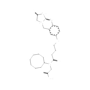 O=C(O)CN(C(=O)CCCOc1ccc2c(c1)CN1CC(=O)NC1=N2)C1CCCCCCC1